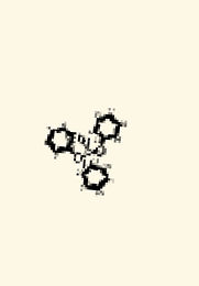 CCO[PH](Oc1ccccc1)(Oc1ccccc1)c1ccccc1